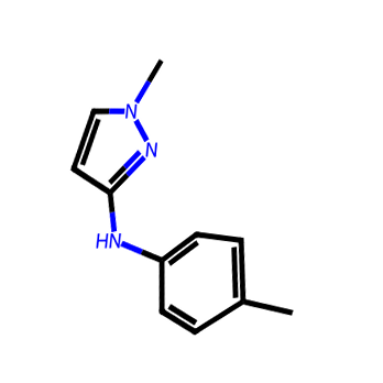 Cc1ccc(Nc2ccn(C)n2)cc1